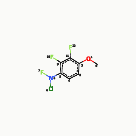 COc1ccc(N(F)Cl)c(F)c1F